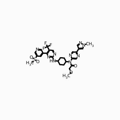 COCC(=O)N(c1cnc(-c2cnn(C)c2)cn1)C1CCC(Nc2ncc(C(F)(F)F)c(-c3cncc(S(C)(=O)=O)c3)n2)CC1